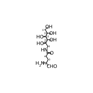 NC(C=O)CCC(=O)NCC(O)C(O)C(O)C(O)CO